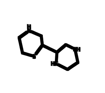 C1CNC(C2CNCCS2)CN1